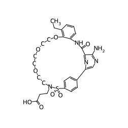 CCc1cccc2c1OCCOCCOCCN(CCC(=O)O)S(=O)(=O)c1ccc(cc1)-c1cnc(N)c(n1)C(=O)N2